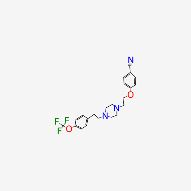 N#Cc1ccc(OCCN2CCN(CCc3ccc(OC(F)(F)F)cc3)CC2)cc1